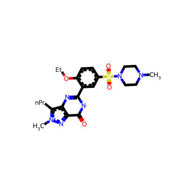 CCCc1c2c(nn1C)C(=O)[N]C(c1cc(S(=O)(=O)N3CCN(C)CC3)ccc1OCC)=N2